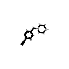 C#Cc1ccc(CN2CCSCC2)cc1